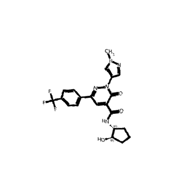 Cn1cc(-n2nc(-c3ccc(C(F)(F)F)cc3)cc(C(=O)N[C@@H]3CCC[C@H]3O)c2=O)cn1